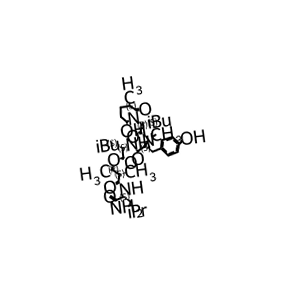 CC[C@H](C)[C@H](NC(=O)[C@H](Cc1ccc(O)cc1)N(C)C(=O)[C@H]([C@@H](C)CC)N1C(=O)[C@@H](C)CCC1O)C(=O)O[C@H](C)[C@H](C)C(=O)N[C@@H](CC(C)C)C(N)=O